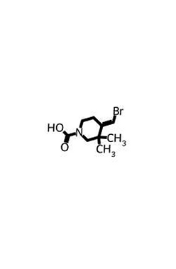 CC1(C)CN(C(=O)O)CC/C1=C\Br